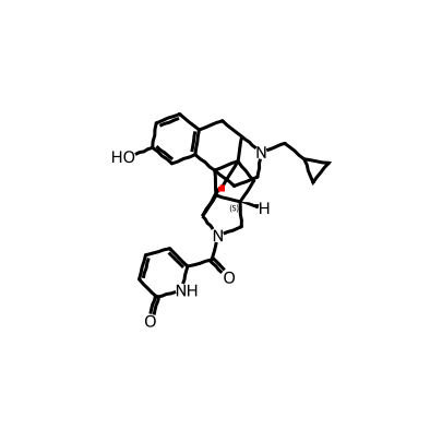 O=C(c1cccc(=O)[nH]1)N1C[C@H]2CC34CCC1C2C31CCN(CC2CC2)C4Cc2ccc(O)cc21